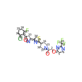 O=C(COc1ccnc(C(F)(F)F)n1)N1CCC(c2nc(C3=NOC(c4c(F)cccc4Cl)C3)cs2)CC1